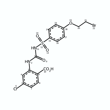 O=C(Nc1cc(Cl)ccc1C(=O)O)NS(=O)(=O)c1ccc(OCCBr)cc1